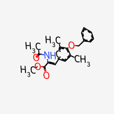 COC(=O)C(=Cc1cc(C)c(OCc2ccccc2)c(C)c1)NC(C)=O